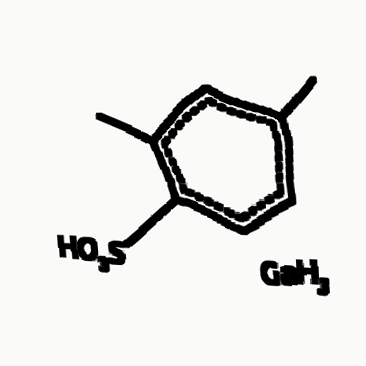 Cc1ccc(S(=O)(=O)O)c(C)c1.[GaH3]